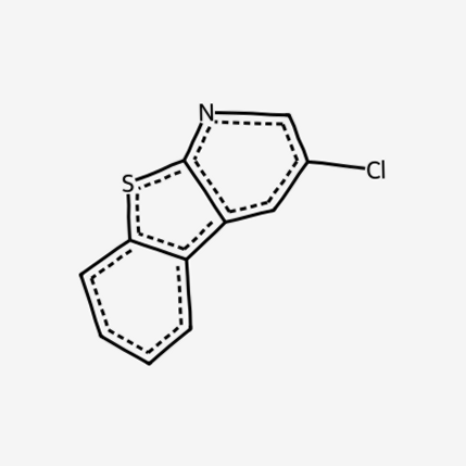 Clc1cnc2sc3ccccc3c2c1